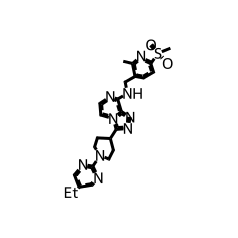 CCc1cnc(N2CCC(c3nnc4c(NCc5ccc(S(C)(=O)=O)nc5C)nccn34)CC2)nc1